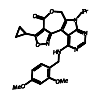 COc1ccc(CNc2ncnc3c2c2c(n3C(C)C)COC(=O)c3c-2noc3C2CC2)c(OC)c1